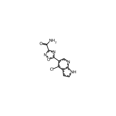 NC(=O)c1noc(-c2cnc3[nH]ccc3c2Cl)n1